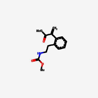 C=C(C(=O)OC)c1ccccc1CCNC(=O)OC(C)(C)C